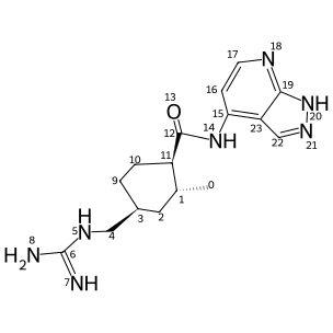 C[C@@H]1C[C@@H](CNC(=N)N)CC[C@H]1C(=O)Nc1ccnc2[nH]ncc12